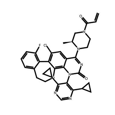 C=CC(=O)N1CCN(c2nc(=O)n(-c3c(C4CC4)ncnc3C3CC3)c3c4c(c(Cl)cc23)-c2c(F)cccc2CCO4)[C@@H](C)C1